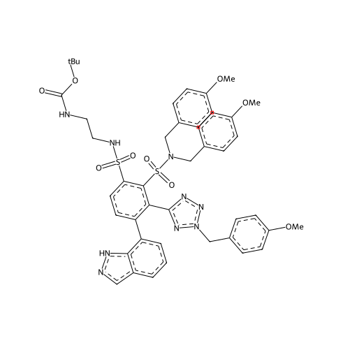 COc1ccc(CN(Cc2ccc(OC)cc2)S(=O)(=O)c2c(S(=O)(=O)NCCNC(=O)OC(C)(C)C)ccc(-c3cccc4cn[nH]c34)c2-c2nnn(Cc3ccc(OC)cc3)n2)cc1